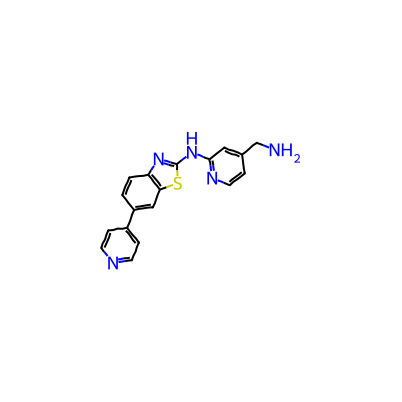 NCc1ccnc(Nc2nc3ccc(-c4ccncc4)cc3s2)c1